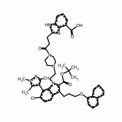 Cc1nn(C)c(C)c1-c1c(Cl)ccc2c(CCCOc3cccc4ccccc34)c(C(=O)OC(C)(C)C)n(CCN3CCN(C(=O)CCc4nc5c(C(=O)O)cccc5[nH]4)CC3)c12